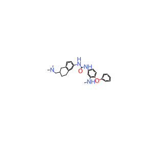 CNc1cc(NC(=O)Nc2ccc3c(c2)CCC(CN(C)C)C3)ccc1Oc1ccccc1